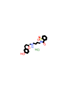 Cl.O=C1c2ccccc2S(=O)(=O)N1CCCCNC[C@H]1CCc2cc(O)ccc2O1